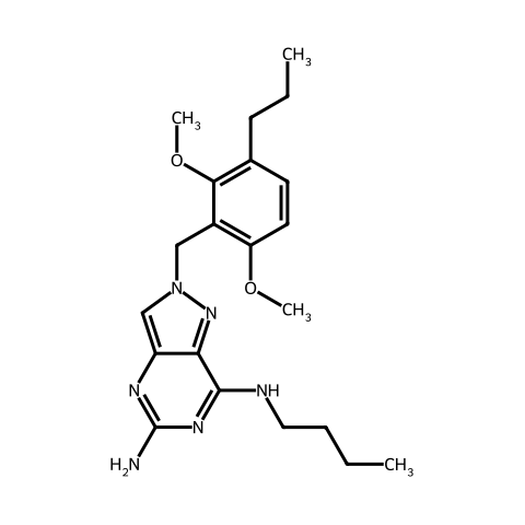 CCCCNc1nc(N)nc2cn(Cc3c(OC)ccc(CCC)c3OC)nc12